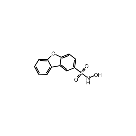 O=S(=O)(NO)c1ccc2oc3ccccc3c2c1